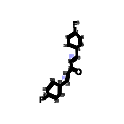 O=C(/C=C/c1ccc(F)cc1)/C=C/c1ccc(F)cc1